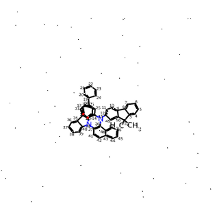 CC1(C)c2ccccc2-c2ccc(N(c3cccc(-c4ccccc4)c3)c3c(-n4c5ccccc5c5ccccc54)ccc4ccccc34)cc21